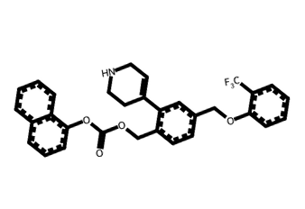 O=C(OCc1ccc(COc2ccccc2C(F)(F)F)cc1C1=CCNCC1)Oc1cccc2ccccc12